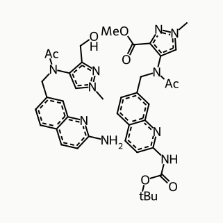 CC(=O)N(Cc1ccc2ccc(N)nc2c1)c1cn(C)nc1CO.COC(=O)c1nn(C)cc1N(Cc1ccc2ccc(NC(=O)OC(C)(C)C)nc2c1)C(C)=O